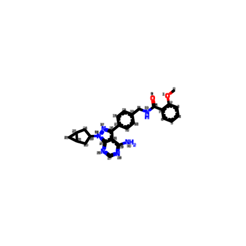 COc1ccccc1C(=O)NCc1ccc(-c2nn(C3CC4CC4C3)c3ncnc(N)c23)cc1